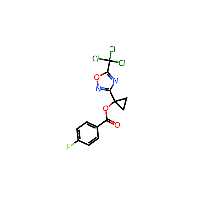 O=C(OC1(c2noc(C(Cl)(Cl)Cl)n2)CC1)c1ccc(F)cc1